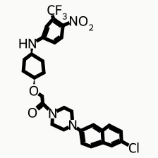 O=C(CO[C@H]1CC[C@H](Nc2ccc([N+](=O)[O-])c(C(F)(F)F)c2)CC1)N1CCN(c2ccc3cc(Cl)ccc3c2)CC1